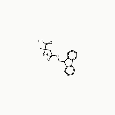 CC(N)(CC(=O)OCC1c2ccccc2-c2ccccc21)C(=O)O